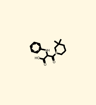 CC1(C)CCCN(C(=O)C(Nc2ccccc2)C(=O)O)C1